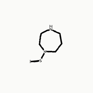 ISN1CCCNCC1